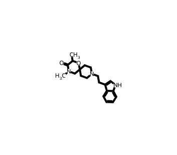 CC1OC2(CCN(CCc3c[nH]c4ccccc34)CC2)CN(C)C1=O